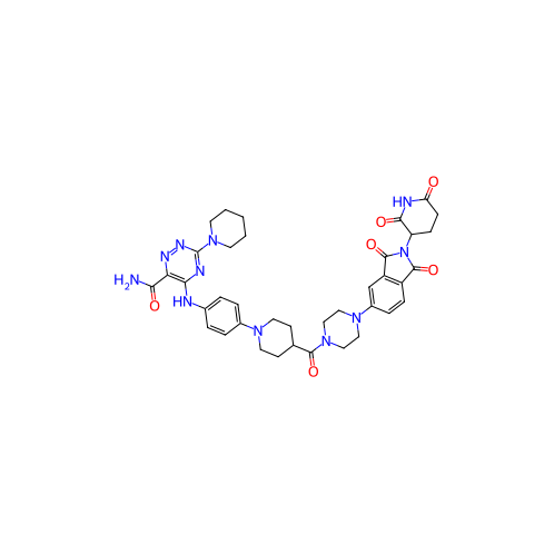 NC(=O)c1nnc(N2CCCCC2)nc1Nc1ccc(N2CCC(C(=O)N3CCN(c4ccc5c(c4)C(=O)N(C4CCC(=O)NC4=O)C5=O)CC3)CC2)cc1